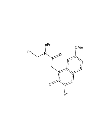 CCCN(CC(C)C)C(=O)Cn1c(=O)c(C(C)C)cc2ccc(OC)cc21